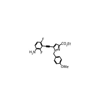 CCOC(=O)c1cc(C#Cc2c(F)ccc(N)c2F)n(Cc2ccc(OC)cc2)n1